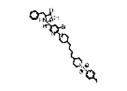 O=C(O)C(Cc1ccccc1)NS(=O)(=O)c1cnc(N2CCC(CCCCC3CCN(S(=O)(=O)c4ccc(I)cc4)CC3)CC2)c(Br)c1